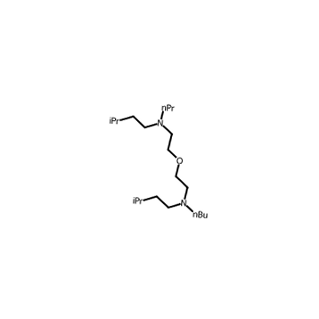 CCCCN(CCOCCN(CCC)CCC(C)C)CCC(C)C